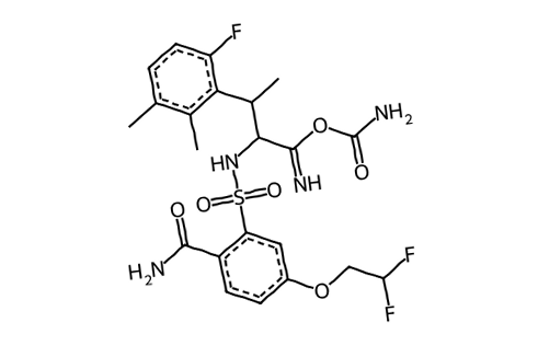 Cc1ccc(F)c(C(C)C(NS(=O)(=O)c2cc(OCC(F)F)ccc2C(N)=O)C(=N)OC(N)=O)c1C